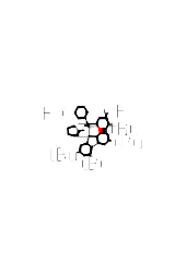 CC(C)(C)c1cc2c(cc1C(C)(C)C)[CH]([Zr](=[C](c1cccc(C(F)(F)F)c1)c1cccc(C(F)(F)F)c1)[CH]1C=CC=C1)c1cc(C(C)(C)C)c(C(C)(C)C)cc1-2